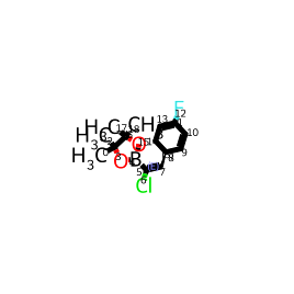 CC1(C)OB(/C(Cl)=C\[C@@H]2C=CC(F)=CC2)OC1(C)C